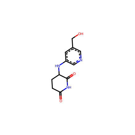 O=C1CCC(Nc2cncc(CO)c2)C(=O)N1